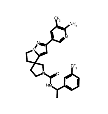 CC(NC(=O)N1CCC2(CCn3nc(-c4cnc(N)c(C(F)(F)F)c4)cc32)C1)c1cccc(C(F)(F)F)c1